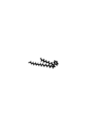 CCCCCCCCCCCCCCCCC[n+]1ccn(-c2ccccc2)c1CCCCCCCCC